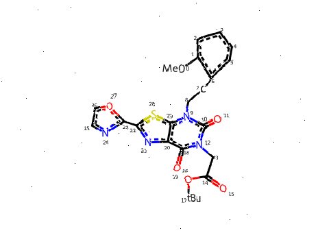 COc1ccccc1CCn1c(=O)n(CC(=O)OC(C)(C)C)c(=O)c2nc(-c3ncco3)sc21